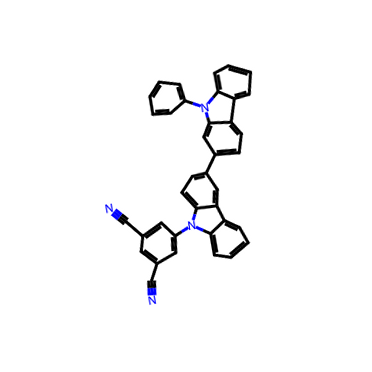 N#Cc1cc(C#N)cc(-n2c3ccccc3c3cc(-c4ccc5c6ccccc6n(-c6ccccc6)c5c4)ccc32)c1